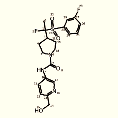 CC(F)(C1CCN(C(=O)Nc2ccc(CO)nc2)CC1)S(=O)(=O)c1cccc(F)c1